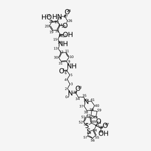 CN(CCCCC(=O)Nc1ccc(CNC[C@H](O)c2ccc(O)c3c2OCC(=O)N3)cc1)C(=O)CCN1CCC2(CC1)CC(OC(C(=O)O)(c1cccs1)c1cccs1)C2